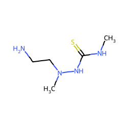 CNC(=S)NN(C)CCN